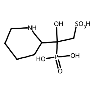 O=P(O)(O)C(O)(CS(=O)(=O)O)C1CCCCN1